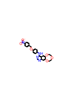 O=[N+]([O-])c1ccc(COc2ccc(Nc3ncnc4cc5c(cc34)OCCOCCO5)cc2)cc1